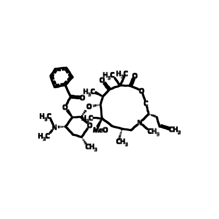 C=CC[C@H]1COC(=O)C(C)(C)C(=O)[C@H](C)[C@@H](O[C@@H]2O[C@H](C)C[C@H](N(C)C)[C@H]2OC(=O)c2ccccc2)[C@](C)(OC)C[C@@H](C)CN1C